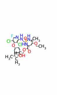 CCOC(=O)[C@@H]1C=C(OCC)[C@H](C)NP(=O)(CNc2nc(F)c(Cl)c(Oc3ccc(O)c(C(C)C)c3)c2Cl)N1